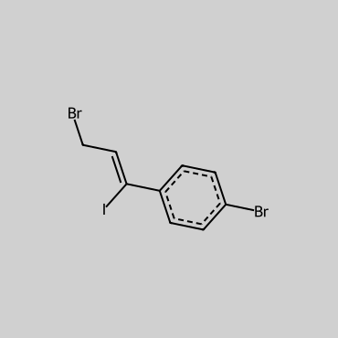 BrCC=C(I)c1ccc(Br)cc1